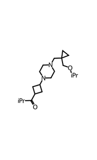 CC(C)OCC1(CN2CCN(C3CC(C(=O)C(C)C)C3)CC2)CC1